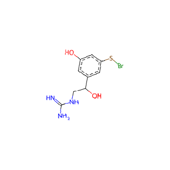 N=C(N)NCC(O)c1cc(O)cc(SBr)c1